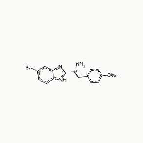 COc1ccc(C[C@@H](N)c2nc3cc(Br)ccc3[nH]2)cc1